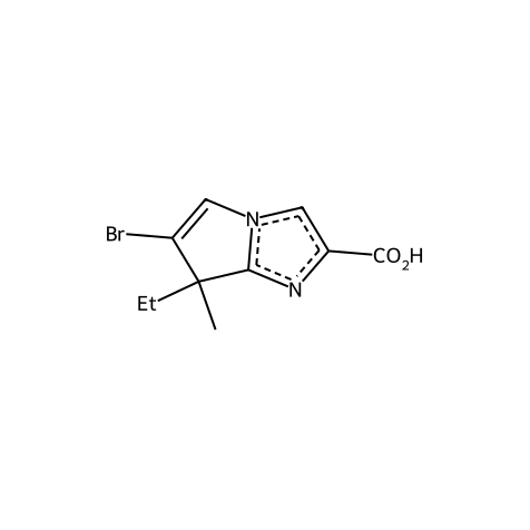 CCC1(C)C(Br)=Cn2cc(C(=O)O)nc21